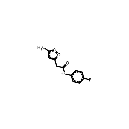 Cc1cc(CC(=O)Nc2ccc(F)cc2)on1